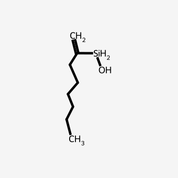 C=C(CCCCCC)[SiH2]O